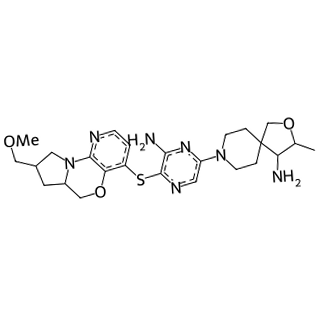 COCC1CC2COc3c(Sc4ncc(N5CCC6(CC5)COC(C)C6N)nc4N)ccnc3N2C1